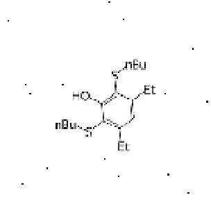 CCCCSc1c(CC)cc(CC)c(SCCCC)c1O